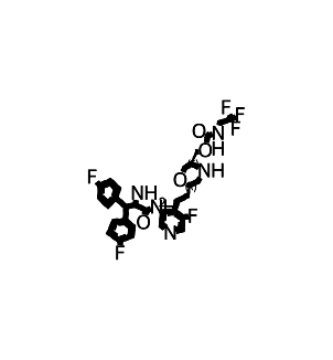 NC(C(=O)Nc1cncc(F)c1CC[C@@H]1CN[C@H](COC(=O)NCC(F)(F)F)CO1)C(c1ccc(F)cc1)c1ccc(F)cc1